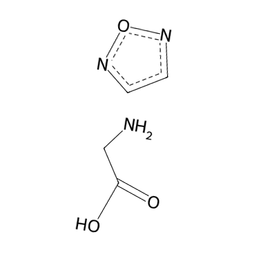 NCC(=O)O.c1cnon1